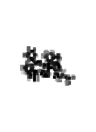 O=C(N[C@H]1N=C(c2ccccc2)c2cccc(F)c2NC1=O)c1c(-c2ccccc2F)nn2c1OCC(C1CC1)C2